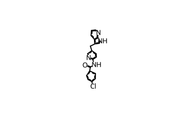 O=C(Nc1ccc(Cc2c[nH]c3ncccc23)cn1)c1ccc(Cl)cc1